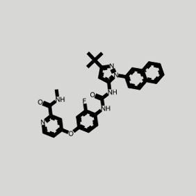 CNC(=O)c1cc(Oc2ccc(NC(=O)Nc3cc(C(C)(C)C)nn3-c3ccc4ccccc4c3)c(F)c2)ccn1